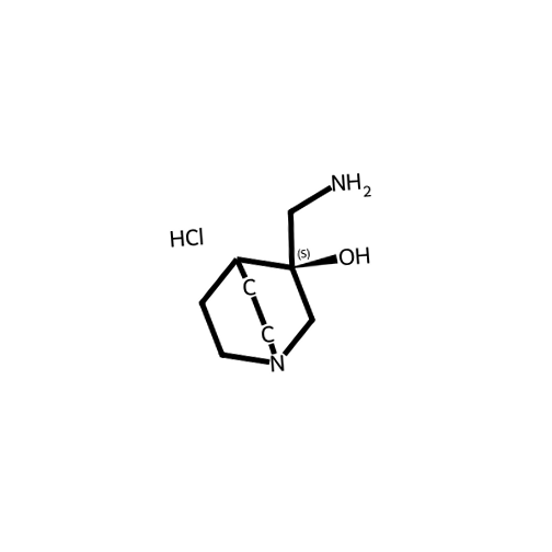 Cl.NC[C@]1(O)CN2CCC1CC2